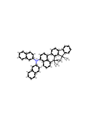 CC1(C)c2ccccc2-c2ccc3c(c21)C(C)(C)c1cccc2c(N(c4ccc5ccccc5c4)c4ccc5ccccc5c4)ccc-3c12